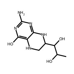 CC(O)C(O)C1CNc2c(O)nc(N)nc2N1